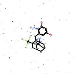 Nc1c(Br)cc(Br)cc1CC1C2(N)CC3CC(C2)CC1(C(F)(F)F)C3